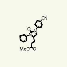 COC(=O)C=Cc1cn(-c2ccc(C#N)cc2)c(=O)n1-c1ccccc1